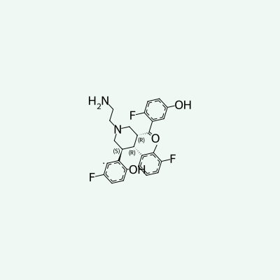 Cc1c(F)cccc1[C@H]1[C@@H](C(=O)c2cc(O)ccc2F)CN(CCN)C[C@@H]1c1[c]c(F)ccc1O